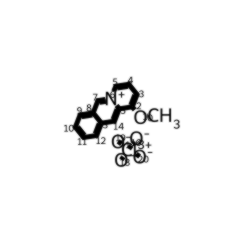 COc1ccc[n+]2cc3ccccc3cc12.[O-][Cl+3]([O-])([O-])[O-]